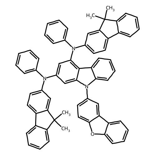 CC1(C)c2ccccc2-c2ccc(N(c3ccccc3)c3cc(N(c4ccccc4)c4ccc5c(c4)C(C)(C)c4ccccc4-5)c4c5ccccc5n(-c5ccc6oc7ccccc7c6c5)c4c3)cc21